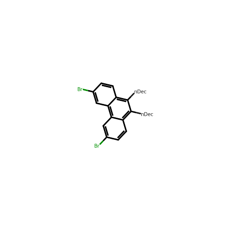 CCCCCCCCCCc1c(CCCCCCCCCC)c2ccc(Br)cc2c2cc(Br)ccc12